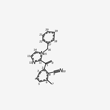 C=C(c1cccc(C)c1C#N)c1nccn1Cc1ccccc1